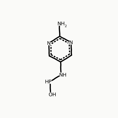 Nc1ncc(NPO)cn1